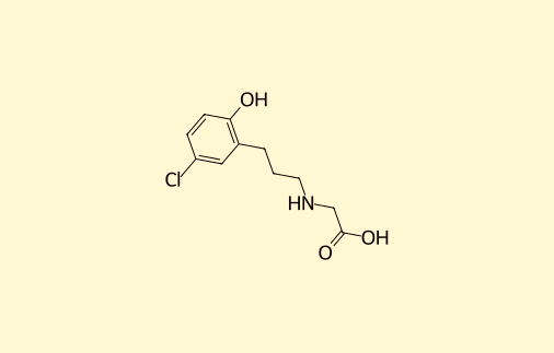 O=C(O)CNCCCc1cc(Cl)ccc1O